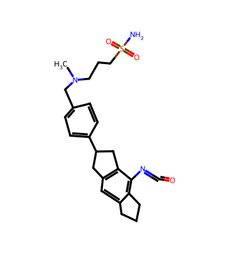 CN(CCCS(N)(=O)=O)Cc1ccc(C2Cc3cc4c(c(N=C=O)c3C2)CCC4)cc1